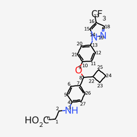 O=C(O)CCNc1ccc(C(Oc2ccc(-n3cc(C(F)(F)F)cn3)cc2)C2CCC2)cc1